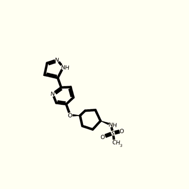 CS(=O)(=O)N[C@H]1CC[C@@H](Oc2ccc(-c3ccn[nH]3)nc2)CC1